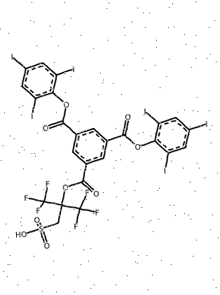 O=C(Oc1c(I)cc(I)cc1I)c1cc(C(=O)Oc2c(I)cc(I)cc2I)cc(C(=O)OC(CS(=O)(=O)O)(C(F)(F)F)C(F)(F)F)c1